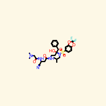 CC(C)CN(C(O)(CCNC(=O)CC(C#N)NC(=O)CN(C)C)Cc1ccccc1)S(=O)(=O)c1ccc2c(c1)OC(F)(F)O2